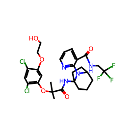 CC(C)(Oc1cc(OCCO)c(Cl)cc1Cl)C(=O)NC12CCCC(CC1)N2c1ncccc1C(=O)NCC(F)(F)F